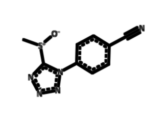 C[S+]([O-])c1nnnn1-c1ccc(C#N)cc1